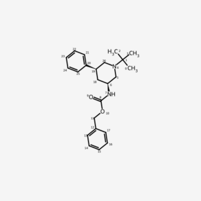 CC(C)(C)N1C[C@@H](NC(=O)OCc2ccccc2)C[C@@H](c2ccccc2)C1